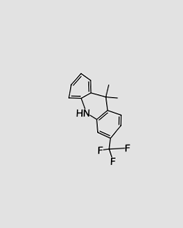 CC1(C)c2ccccc2Nc2cc(C(F)(F)F)ccc21